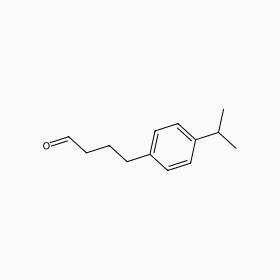 CC(C)c1ccc(CCCC=O)cc1